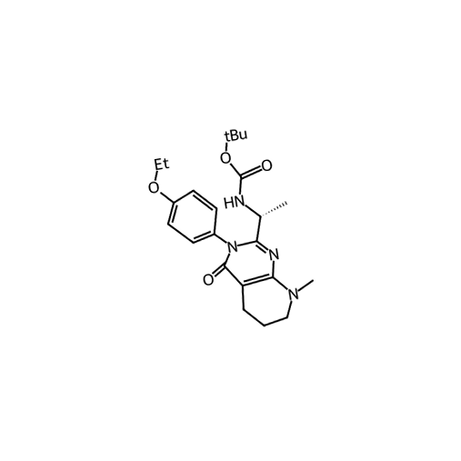 CCOc1ccc(-n2c([C@@H](C)NC(=O)OC(C)(C)C)nc3c(c2=O)CCCN3C)cc1